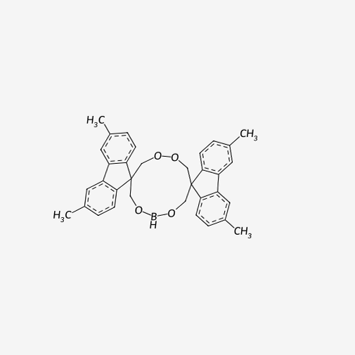 Cc1ccc2c(c1)-c1cc(C)ccc1C21COBOCC2(COOC1)c1ccc(C)cc1-c1cc(C)ccc12